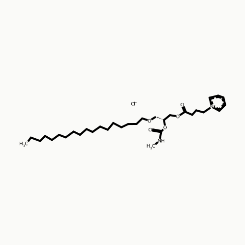 CCCCCCCCCCCCCCCCCCOC[C@H](COC(=O)CCC[n+]1ccccc1)OC(=O)NC.[Cl-]